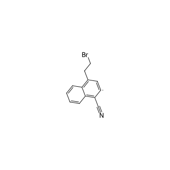 N#Cc1[c]cc(CCBr)c2ccccc12